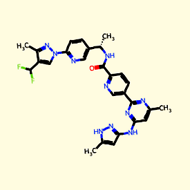 Cc1cc(Nc2cc(C)[nH]n2)nc(-c2ccc(C(=O)N[C@@H](C)c3ccc(-n4cc(C(F)F)c(C)n4)nc3)nc2)n1